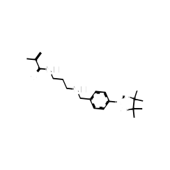 C=C(C)C(=O)NCCCNCc1ccc(B2OC(C)(C)C(C)(C)O2)cc1